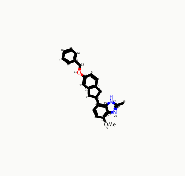 COc1ccc(C2Cc3ccc(OCc4ccccc4)cc3C2)c2[nH]c(C)nc12